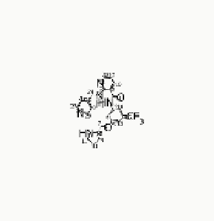 O=C(Nc1cc(OC[C@@H]2CCCN2)cc(C(F)(F)F)c1)c1cccnc1NCc1ccncc1